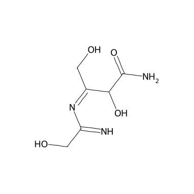 N=C(CO)N=C(CO)C(O)C(N)=O